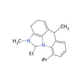 CCC1N(C)C2=C3C(=CCC2)C(C)c2cccc(C(C)C)c2N31